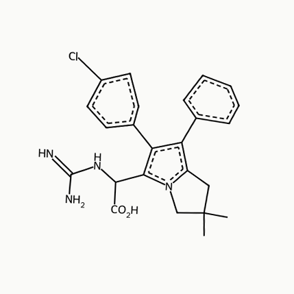 CC1(C)Cc2c(-c3ccccc3)c(-c3ccc(Cl)cc3)c(C(NC(=N)N)C(=O)O)n2C1